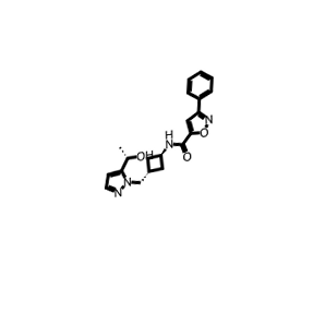 C[C@H](O)c1ccnn1C[C@H]1C[C@H](NC(=O)c2cc(-c3ccccc3)no2)C1